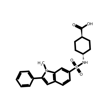 Cn1c(-c2ccccc2)cc2ccc(S(=O)(=O)N[C@H]3CC[C@H](C(=O)O)CC3)cc21